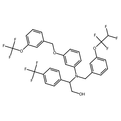 OCC(c1ccc(C(F)(F)F)cc1)N(Cc1cccc(OC(F)(F)C(F)F)c1)c1cccc(OCc2cccc(OC(F)(F)F)c2)c1